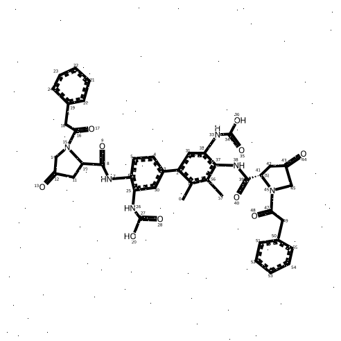 Cc1c(-c2ccc(NC(=O)C3CC(=O)CN3C(=O)Cc3ccccc3)c(NC(=O)O)c2)cc(NC(=O)O)c(NC(=O)[C@@H]2CC(=O)CN2C(=O)Cc2ccccc2)c1C